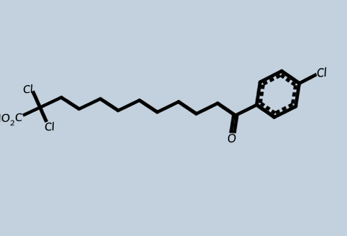 O=C(CCCCCCCCCC(Cl)(Cl)C(=O)O)c1ccc(Cl)cc1